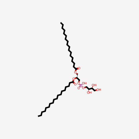 CCCCCCCCCCCCCCCCCC(=O)OC[C@H](COP(=O)(O)OC[C@@H](O)[C@H](O)CO)OC(=O)CCCCCCCCCCCCCCCCC